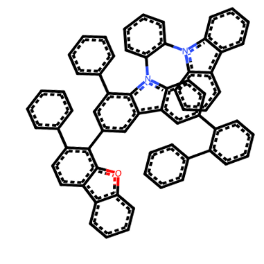 c1ccc(-c2ccccc2-c2ccc3c(c2)c2cc(-c4c(-c5ccccc5)ccc5c4oc4ccccc45)cc(-c4ccccc4)c2n3-c2ccccc2-n2c3ccccc3c3ccccc32)cc1